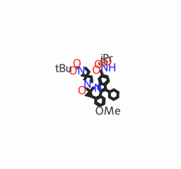 COc1ccc2c(c1)C1CC1(C(=O)N1CCC3(CCN(C(=O)OC(C)(C)C)C3)C1)Cn1c-2c(C2CCCCC2)c2ccc(C(=O)NS(=O)(=O)C(C)C)cc21